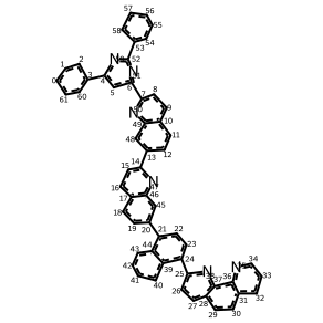 c1ccc(-c2cc(-c3ccc4ccc(-c5ccc6ccc(-c7ccc(-c8ccc9ccc%10cccnc%10c9n8)c8ccccc78)cc6n5)cc4n3)nc(-c3ccccc3)n2)cc1